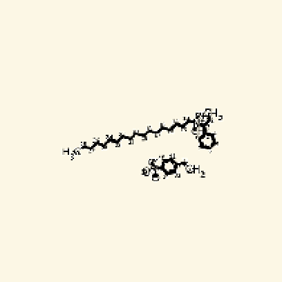 C=CC(c1ccccc1)[N+](C)(C)CCCCCCCCCCCCCCCCCC.C=Cc1ccc(S(=O)(=O)[O-])cc1